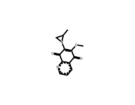 COC1=C(N2CC2C)C(=O)c2ncccc2C1=O